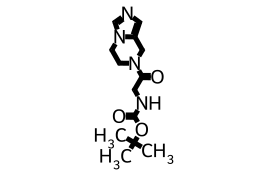 CC(C)(C)OC(=O)NCC(=O)N1CCn2cncc2C1